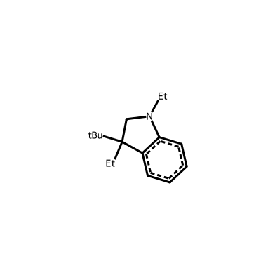 CCN1CC(CC)(C(C)(C)C)c2ccccc21